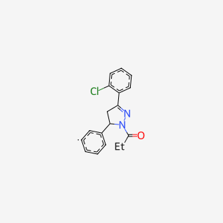 CCC(=O)N1N=C(c2ccccc2Cl)CC1c1c[c]ccc1